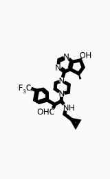 C[C@@H]1C[C@H](O)c2ncnc(N3CCN(C(NCC4CC4)C(C=O)c4ccc(C(F)(F)F)cc4)CC3)c21